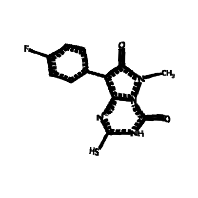 Cn1c(=O)c(-c2ccc(F)cc2)c2nc(S)[nH]c(=O)n21